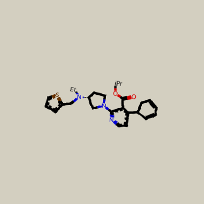 CCN(Cc1cccs1)[C@@H]1CCN(c2nccc(C3C=CC=CC3)c2C(=O)OC(C)C)C1